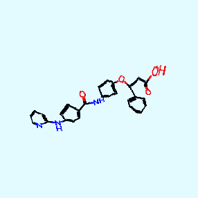 O=C(O)CC(Oc1ccc(NC(=O)c2ccc(Nc3ccccn3)cc2)cc1)c1ccccc1